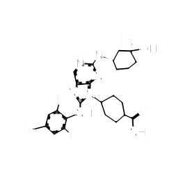 C[C@]1(O)CCC[C@@H](Nc2ncc3nc(Nc4c(F)cc(Cl)cc4Cl)n(C4CCC(C(N)=O)CC4)c3n2)C1